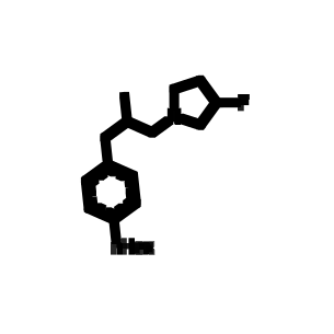 CCCCCCc1ccc(CC(C)CN2CCC(F)C2)cc1